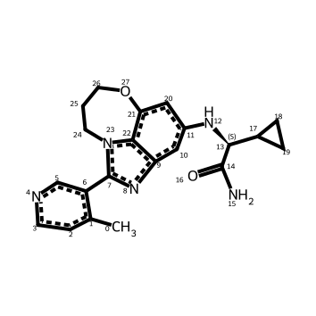 Cc1ccncc1-c1nc2cc(N[C@H](C(N)=O)C3CC3)cc3c2n1CCCO3